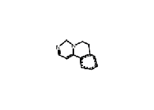 C1=NCN2CCc3ccccc3C2=C1